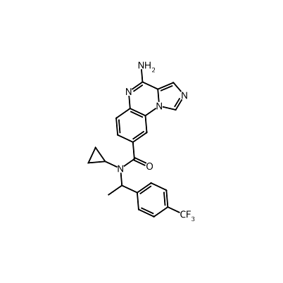 CC(c1ccc(C(F)(F)F)cc1)N(C(=O)c1ccc2nc(N)c3cncn3c2c1)C1CC1